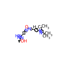 CC(C)c1cc(C(C)C)n(-c2ccc(C3CN(C(=O)N4CC5(CC(c6nc(C7(O)CC7)n[nH]6)C5)C4)C3)cc2)n1